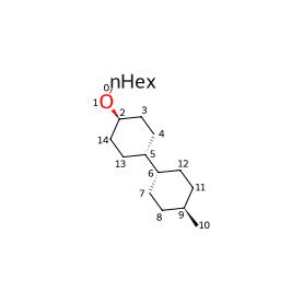 CCCCCCO[C@H]1CC[C@H]([C@H]2CC[C@H](C)CC2)CC1